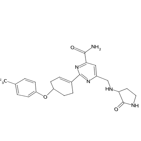 NC(=O)c1cc(CNC2CCNC2=O)nc(C2=CCC(Oc3ccc(C(F)(F)F)cc3)CC2)n1